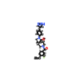 COc1ccc(C(=O)N2CCC3(CC2)CCN(c2ccc(-c4cn[nH]c4)cc2)C3=O)cc1F